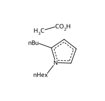 CC(=O)O.CCCCCCn1cccc1CCCC